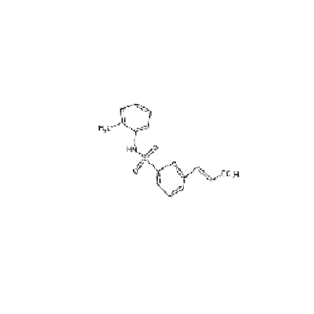 Cc1ccccc1NS(=O)(=O)c1cccc(C=CC(=O)O)c1